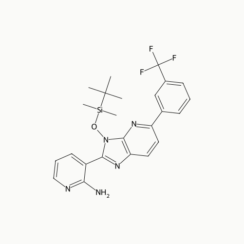 CC(C)(C)[Si](C)(C)On1c(-c2cccnc2N)nc2ccc(-c3cccc(C(F)(F)F)c3)nc21